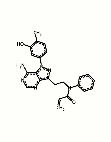 C=CC(=O)N(CCc1nn(-c2ccc(C)c(O)c2)c2c(N)ncnc12)c1ccccc1